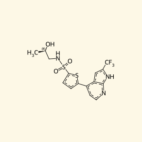 C[C@@H](O)CNS(=O)(=O)c1ccc(-c2ccnc3[nH]c(C(F)(F)F)cc23)s1